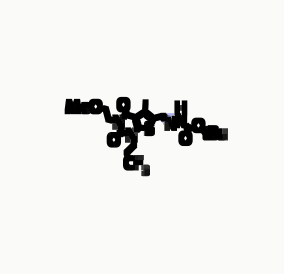 COCCn1c(=O)c2c(C)c(/C=N/NC(=O)OC(C)(C)C)sc2n(CCC(F)(F)F)c1=O